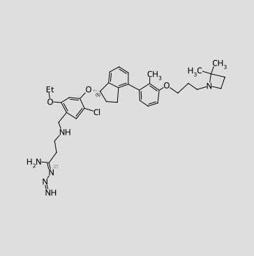 CCOc1cc(O[C@H]2CCc3c(-c4cccc(OCCCN5CCC5(C)C)c4C)cccc32)c(Cl)cc1CNCC/C(N)=N/N=N